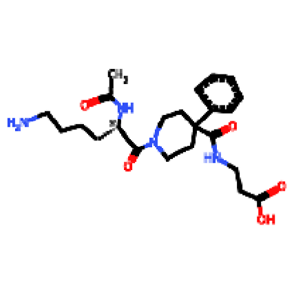 CC(=O)N[C@@H](CCCCN)C(=O)N1CCC(C(=O)NCCC(=O)O)(c2ccccc2)CC1